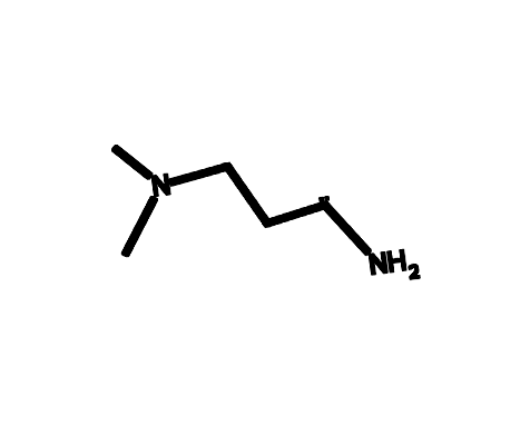 CN(C)CC[C]N